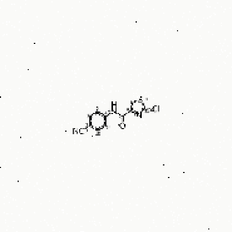 N#Cc1ccc(NC(=O)c2csc(Cl)n2)cc1